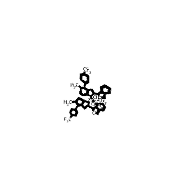 Cc1ccc2c(c1-c1ccc(C(F)(F)F)cc1)C=C(c1occ3ccccc13)[CH]2[Zr]([Cl])([Cl])([CH]1C(c2occ3ccccc23)=Cc2c1ccc(C)c2-c1ccc(C(F)(F)F)cc1)=[Si](C)C